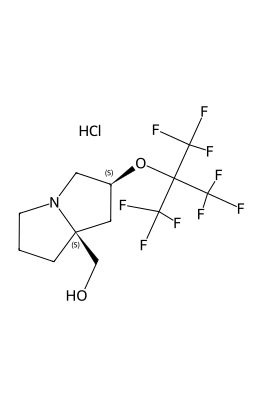 Cl.OC[C@@]12CCCN1C[C@@H](OC(C(F)(F)F)(C(F)(F)F)C(F)(F)F)C2